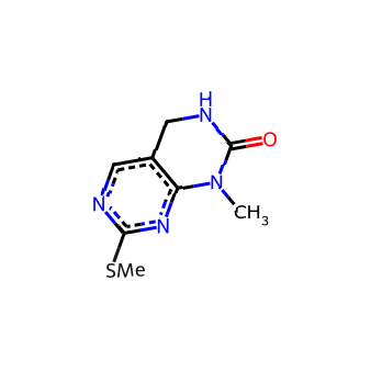 CSc1ncc2c(n1)N(C)C(=O)NC2